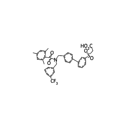 Cc1cc(C)c(S(=O)(=O)N(Cc2ccc(-c3cccc(S(=O)(=O)CC(=O)O)c3)cc2)Cc2cccc(C(F)(F)F)c2)c(C)c1